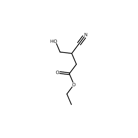 CCOC(=O)CC(C#N)CO